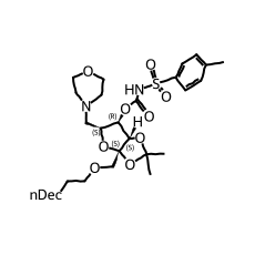 CCCCCCCCCCCCOC[C@@]12O[C@@H](CN3CCOCC3)[C@@H](OC(=O)NS(=O)(=O)c3ccc(C)cc3)[C@@H]1OC(C)(C)O2